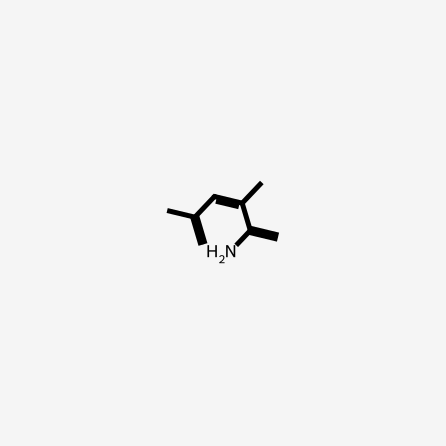 C=C(C)/C=C(/C)C(=C)N